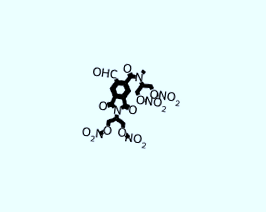 CN(C(=O)c1cc2c(cc1C=O)C(=O)N(C(CO[N+](=O)[O-])CO[N+](=O)[O-])C2=O)C(CO[N+](=O)[O-])CO[N+](=O)[O-]